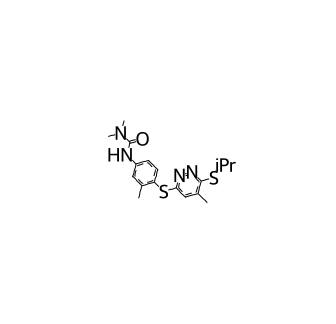 Cc1cc(NC(=O)N(C)C)ccc1Sc1cc(C)c(SC(C)C)nn1